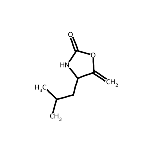 C=C1OC(=O)NC1CC(C)C